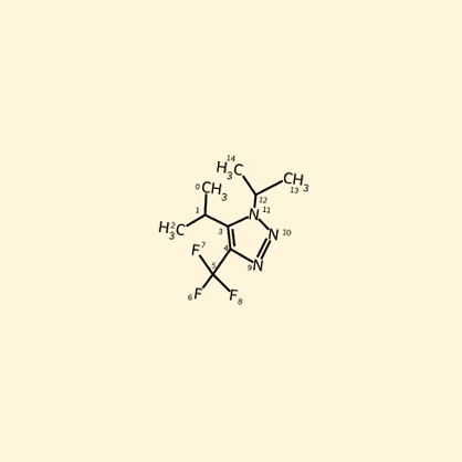 CC(C)c1c(C(F)(F)F)nnn1C(C)C